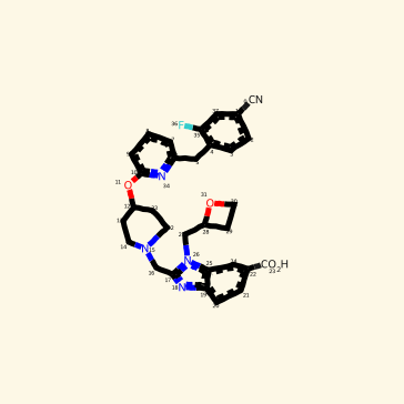 N#Cc1ccc(Cc2cccc(OC3CCN(Cc4nc5ccc(C(=O)O)cc5n4CC4CCO4)CC3)n2)c(F)c1